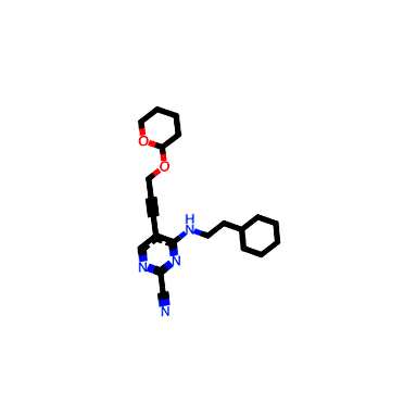 N#Cc1ncc(C#CCOC2CCCCO2)c(NCCC2CCCCC2)n1